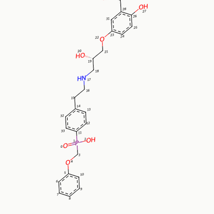 O=P(O)(COc1ccccc1)c1ccc(CCNC[C@H](O)COc2ccc(O)c(CO)c2)cc1